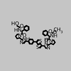 COC(=O)N[C@@H](C(=O)N1CCCC1C1=NCC(c2csc3c(-c4ccc(-c5cnc(C6CCCN6C(=O)[C@H](NC(=O)CO)c6ccccc6)[nH]5)cc4)csc23)N1)c1ccccc1